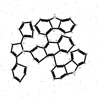 C1=C(c2ccccc2)N(c2ccc3c(-c4cccc5oc6ccccc6c45)c4ccccc4c(-c4cccc5oc6ccccc6c45)c3c2)C(c2ccccc2)C1